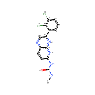 CCNC(=O)Nc1ccc2ncc(-c3cccc(Cl)c3Cl)nc2n1